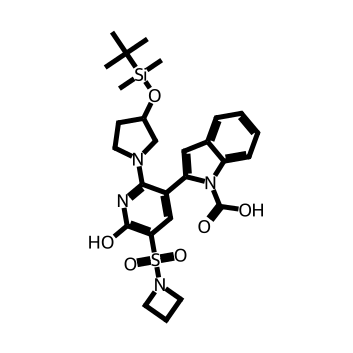 CC(C)(C)[Si](C)(C)OC1CCN(c2nc(O)c(S(=O)(=O)N3CCC3)cc2-c2cc3ccccc3n2C(=O)O)C1